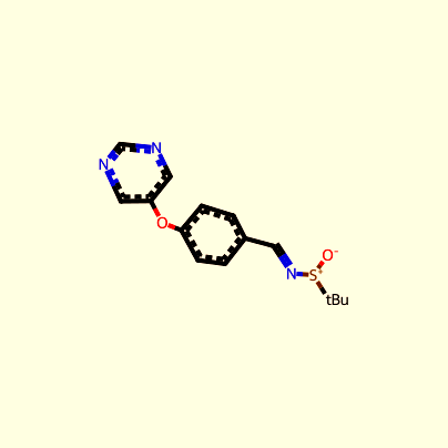 CC(C)(C)[S+]([O-])N=Cc1ccc(Oc2cncnc2)cc1